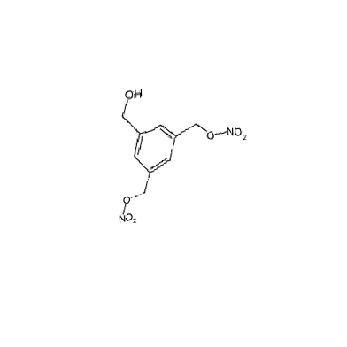 O=[N+]([O-])OCc1cc(CO)cc(CO[N+](=O)[O-])c1